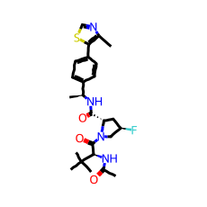 CC(=O)N[C@H](C(=O)N1C[C@H](F)C[C@H]1C(=O)N[C@@H](C)c1ccc(-c2scnc2C)cc1)C(C)(C)C